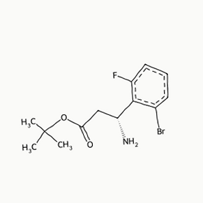 CC(C)(C)OC(=O)C[C@@H](N)c1c(F)cccc1Br